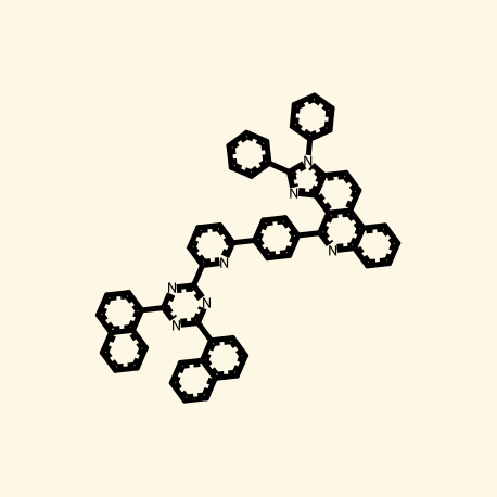 c1ccc(-c2nc3c4c(-c5ccc(-c6cccc(-c7nc(-c8cccc9ccccc89)nc(-c8cccc9ccccc89)n7)n6)cc5)nc5ccccc5c4ccc3n2-c2ccccc2)cc1